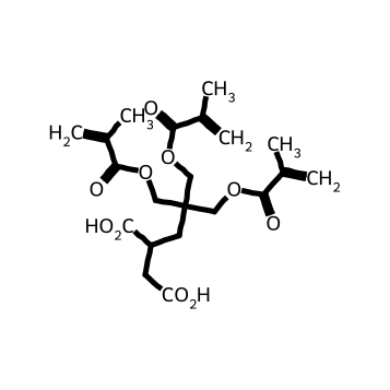 C=C(C)C(=O)OCC(COC(=O)C(=C)C)(COC(=O)C(=C)C)CC(CC(=O)O)C(=O)O